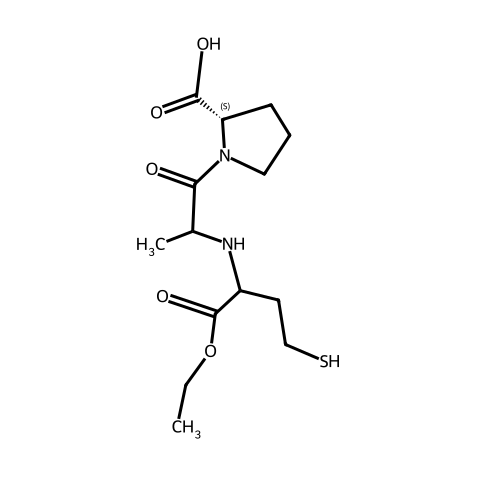 CCOC(=O)C(CCS)NC(C)C(=O)N1CCC[C@H]1C(=O)O